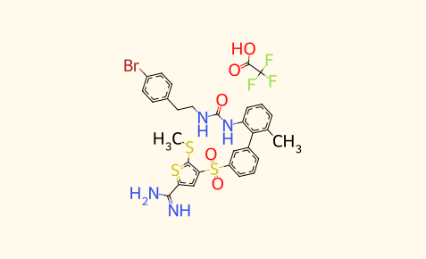 CSc1sc(C(=N)N)cc1S(=O)(=O)c1cccc(-c2c(C)cccc2NC(=O)NCCc2ccc(Br)cc2)c1.O=C(O)C(F)(F)F